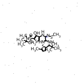 CS/N=C(/Nc1csc(S(=O)(=O)N(C)C(C)(C)C)c1O)C(=N)N[C@@H](c1ccc(C)s1)C(C)(C)C